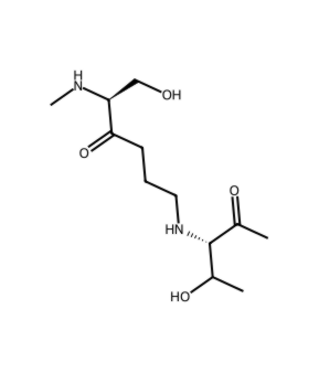 CN[C@@H](CO)C(=O)CCCN[C@H](C(C)=O)C(C)O